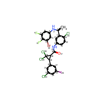 C=C(Nc1cc(F)c(F)c(Br)c1)c1cc(NC(=O)C2C(c3cc(Cl)cc(I)c3)C2(Cl)Cl)ccc1Cl